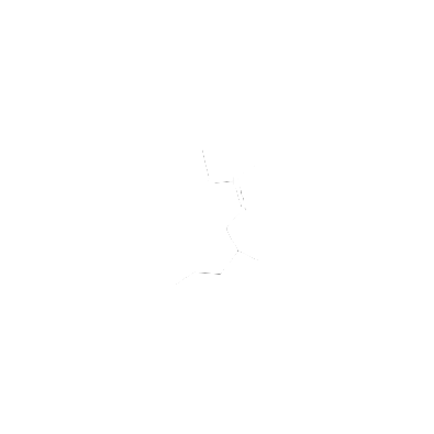 CCCC(C)CN=[P+]([O-])SC